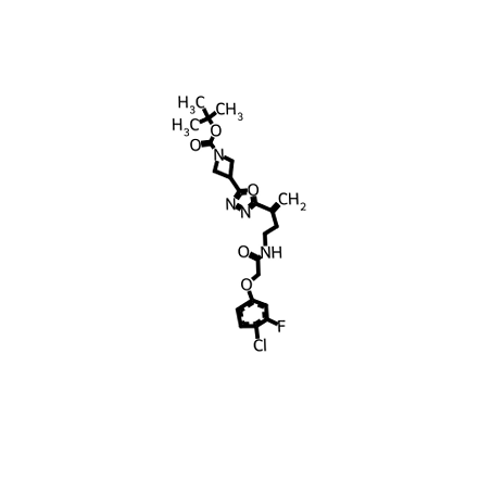 C=C(CCNC(=O)COc1ccc(Cl)c(F)c1)c1nnc(C2CN(C(=O)OC(C)(C)C)C2)o1